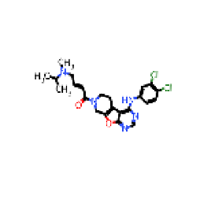 CC(C)N(C)C/C=C/C(=O)N1CCc2c(oc3ncnc(Nc4ccc(Cl)c(Cl)c4)c23)C1